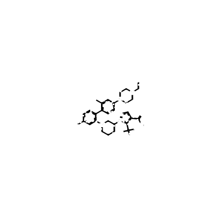 CCN1CCN(c2ccc(-c3ccc(Cl)cc3N3CCCC(n4ncc(C(=O)O)c4C(F)(F)F)C3)c(C)c2)CC1